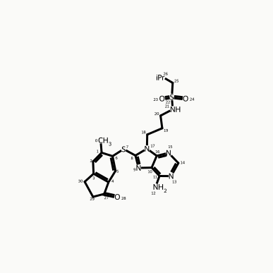 Cc1cc2c(cc1Sc1nc3c(N)ncnc3n1CCCNS(=O)(=O)CC(C)C)C(=O)CC2